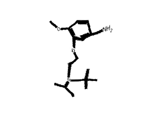 COc1ccc(N)cc1OCCN(C(C)C)C(C)(C)C